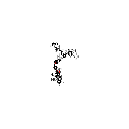 C[C@]12C=CC(=O)C=C1CC[C@@H]1[C@@H]2[C@@H](O)C[C@@]2(C)[C@H]1C[C@H]1O[C@@H](c3ccc(CC45CCC(NC(=O)OCc6ccc(O[C@@H]7O[C@H](C(=O)O)[C@@H](O)[C@H](O)[C@H]7O)c(NC(=O)CCNC(=O)CCN7C(=O)C=CC7=O)c6)(CC4)CO5)cc3)O[C@]12C(=O)CO